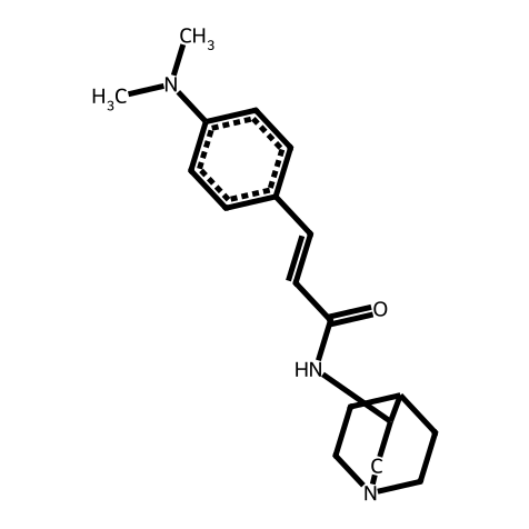 CN(C)c1ccc(/C=C/C(=O)NC2CN3CCC2CC3)cc1